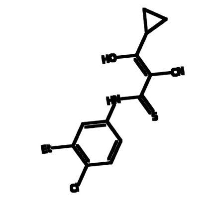 CCc1cc(NC(=S)C(C#N)=C(O)C2CC2)ccc1Cl